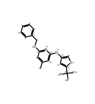 Cc1cc(OCc2ccccc2)nc(Oc2csc(C(F)(F)F)c2)c1